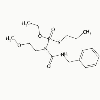 CCCSP(=O)(OCC)N(CCOC)C(=O)NCc1ccccc1